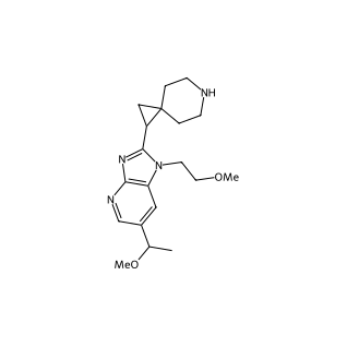 COCCn1c(C2CC23CCNCC3)nc2ncc(C(C)OC)cc21